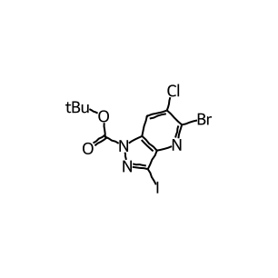 CC(C)(C)OC(=O)n1nc(I)c2nc(Br)c(Cl)cc21